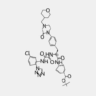 CC(C)(C)OC(=O)c1ccc(NC(=O)[C@H](Cc2ccc(N3CCN(CC4CCOCC4)CC3=O)cc2)NC(=O)C(=O)Nc2cc(Cl)ccc2-n2cnnn2)cc1